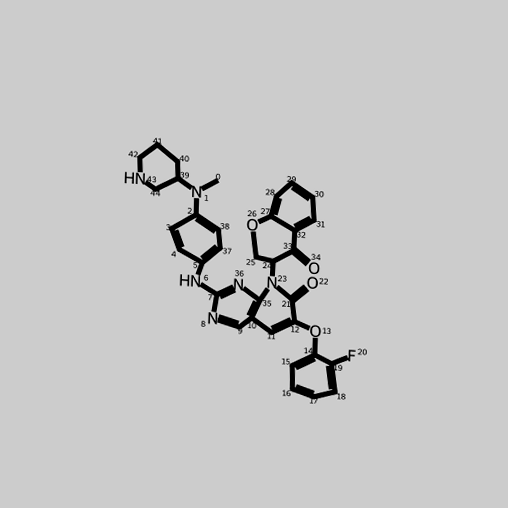 CN(c1ccc(Nc2ncc3cc(Oc4ccccc4F)c(=O)n(C4COc5ccccc5C4=O)c3n2)cc1)C1CCCNC1